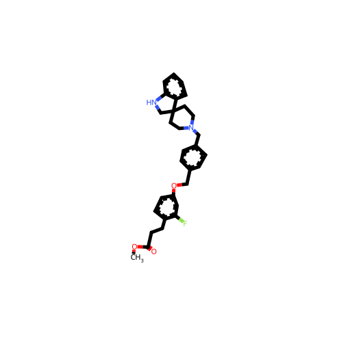 COC(=O)CCc1ccc(OCc2ccc(CN3CCC4(CC3)CNc3ccccc34)cc2)cc1F